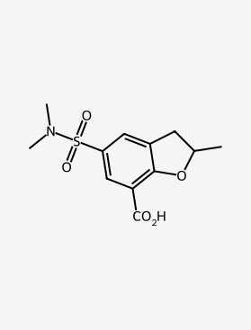 CC1Cc2cc(S(=O)(=O)N(C)C)cc(C(=O)O)c2O1